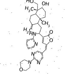 C=C1CCC2[C@](C)(CC[C@@H](O)[C@@]2(C)CO)C1CC(Nc1ccccn1)C1=C/C(=C\c2cnc(N3CCOCC3)nc2)OC1=O